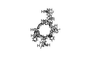 CC(=O)NCC[C@@H]1NC(=O)[C@@H](NC(=O)[C@H](CCCNC(=N)N)NC(C)=O)CC(=O)NCCCC[C@@H](C(=O)O)NC(=O)[C@H](Cc2c[nH]c3ccccc23)NC(=O)[C@H](CCCNC(=N)N)NC(=O)[C@@H](Cc2ccccc2)NC1=O